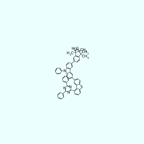 CC1(C)c2ccc(-c3ccc4c(c3)c3cc(-c5ccc6sc7cccc(-c8nc(-c9ccccc9)nc(-c9ccccc9)n8)c7c6c5)ccc3n4-c3ccccc3)cc2C(C)(C)C1(C)C